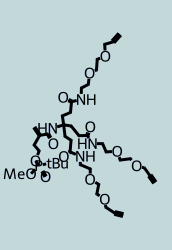 C#CCOCCOCCNC(=O)CCC(CCC(=O)NCCOCCOCC#C)(CCC(=O)NCCOCCOCC#C)NC(=O)C(=C)CCOP(=O)(OC)C(C)(C)C